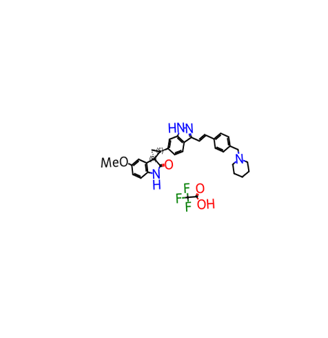 COc1ccc2c(c1)[C@]1(C[C@H]1c1ccc3c(C=Cc4ccc(CN5CCCCC5)cc4)n[nH]c3c1)C(=O)N2.O=C(O)C(F)(F)F